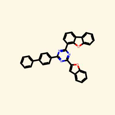 c1ccc(-c2ccc(-c3nc(-c4cc5ccccc5o4)nc(-c4cccc5c4oc4ccccc45)n3)cc2)cc1